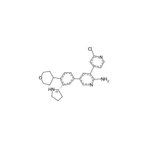 Nc1ncc(-c2ccc(C3CCOCC3)c([C@@H]3CCCN3)c2)cc1-c1ccnc(Cl)c1